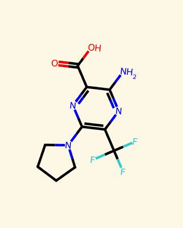 Nc1nc(C(F)(F)F)c(N2CCCC2)nc1C(=O)O